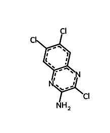 Nc1nc2cc(Cl)c(Cl)cc2nc1Cl